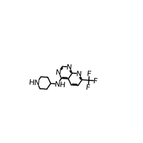 FC(F)(F)c1ccc2c(NC3CCNCC3)ncnc2n1